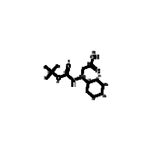 CC(C)(C)OC(=O)NN(CC(=O)O)C1CCCCC1